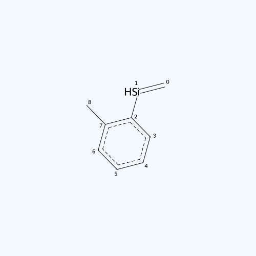 C=[SiH]c1ccccc1C